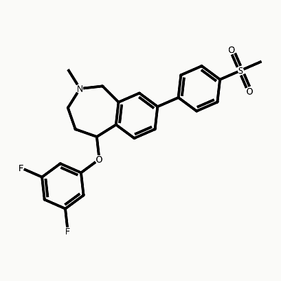 CN1CCC(Oc2cc(F)cc(F)c2)c2ccc(-c3ccc(S(C)(=O)=O)cc3)cc2C1